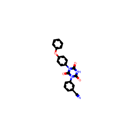 N#Cc1cccc(-n2c(=O)[nH]c(=O)n(-c3ccc(Oc4ccccc4)cc3)c2=O)c1